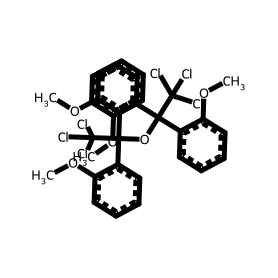 COc1ccccc1C(OC(c1ccccc1OC)(c1ccccc1OC)C(Cl)(Cl)Cl)(c1ccccc1OC)C(Cl)(Cl)Cl